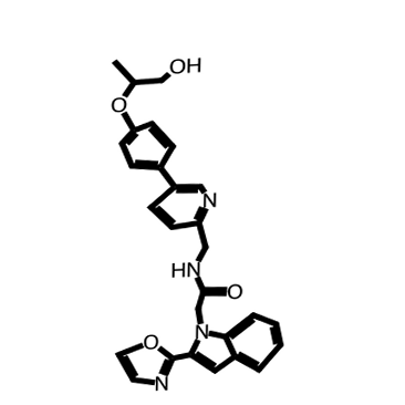 CC(CO)Oc1ccc(-c2ccc(CNC(=O)Cn3c(-c4ncco4)cc4ccccc43)nc2)cc1